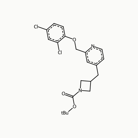 CC(C)(C)OC(=O)N1CC(Cc2ccnc(COc3ccc(Cl)cc3Cl)c2)C1